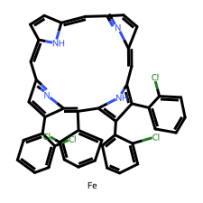 Clc1ccccc1C1=Cc2cc3ccc(cc4nc(cc5[nH]c(c(-c6ccccc6Cl)c1n2)c(-c1ccccc1Cl)c5-c1ccccc1Cl)C=C4)[nH]3.[Fe]